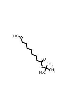 CC(C)(C)OC(=O)CCCCCCCOO